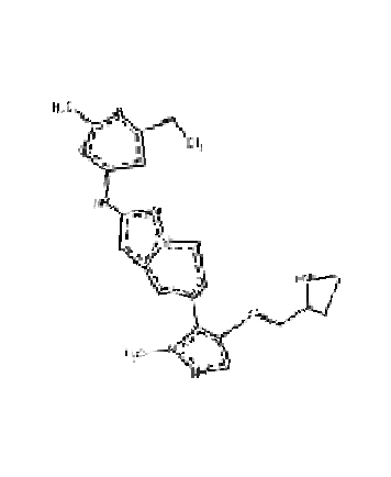 CCc1cc(Nc2cc3cc(-c4c(OCC5CCN5)cnn4C)ccn3n2)nc(C)n1